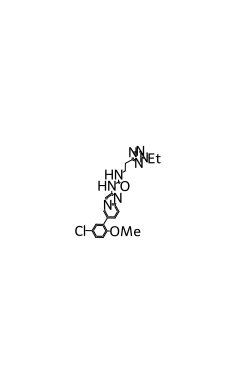 CCn1nnc(CCNC(=O)Nc2cn3cc(-c4cc(Cl)ccc4OC)ccc3n2)n1